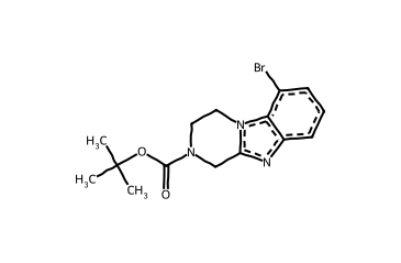 CC(C)(C)OC(=O)N1CCn2c(nc3cccc(Br)c32)C1